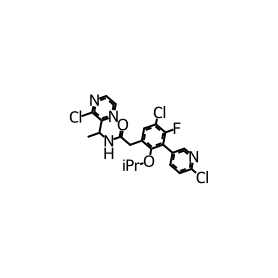 CC(C)Oc1c(CC(=O)NC(C)c2nccnc2Cl)cc(Cl)c(F)c1-c1ccc(Cl)nc1